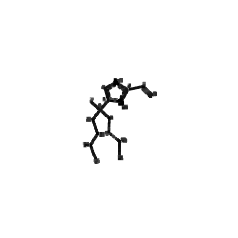 C=Cc1ncc(C(C)(CCCC)CCCC)s1